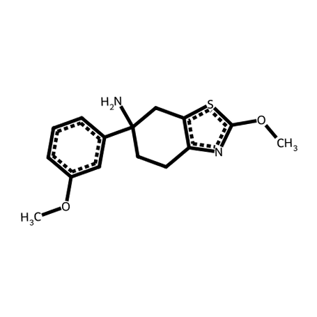 COc1cccc(C2(N)CCc3nc(OC)sc3C2)c1